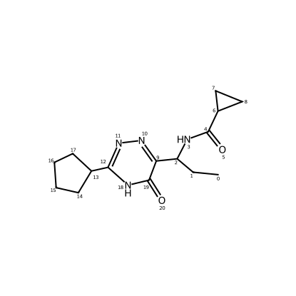 CCC(NC(=O)C1CC1)c1nnc(C2CCCC2)[nH]c1=O